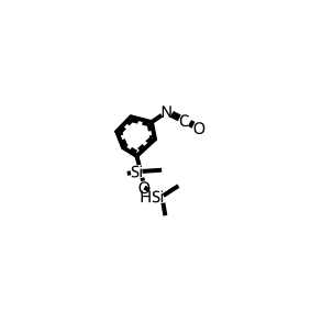 C[SiH](C)O[Si](C)(C)c1cccc(N=C=O)c1